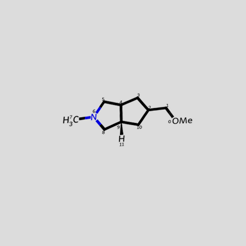 COCC1CC2CN(C)C[C@H]2C1